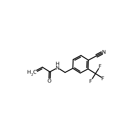 C=CC(=O)NCc1ccc(C#N)c(C(F)(F)F)c1